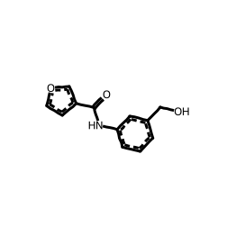 O=C(Nc1cccc(CO)c1)c1ccoc1